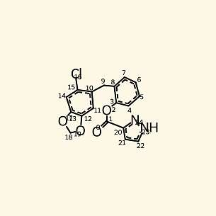 O=C(Oc1ccccc1Cc1cc2c(cc1Cl)OCO2)c1cc[nH]n1